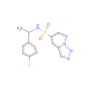 O=S(=O)(NC(c1ccc(F)cc1)C(F)(F)F)c1ccn2nncc2c1